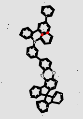 C1=CCCC(N(c2cccc(-c3ccc4c(c3)Oc3c(ccc5c3-c3ccccc3C53C5=CC=CCC5c5ccccc53)O4)c2)c2ccccc2-c2cccc(-c3ccccc3)c2)=C1